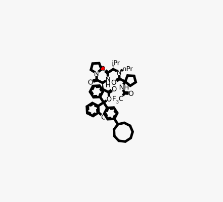 CCCN(C(=O)C1(NC(=O)C(F)(F)F)CCCC1)[C@H](C(=O)N[C@@H](CC(=O)OC(c1ccccc1)(c1ccc(C2CCCCCCCC2)cc1)c1ccccc1Cl)C(=O)N1CCCC1)C(C)C